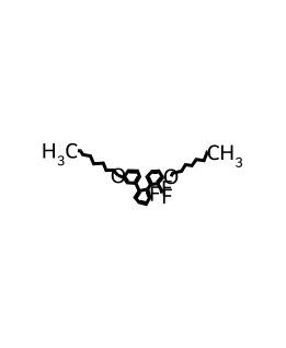 CCCCCCCCOc1cccc(-c2ccccc2-c2cccc(OCCCCCCCC)c2C(F)(F)F)c1